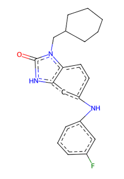 O=c1[nH]c2cc(Nc3cccc(F)c3)ccc2n1CC1CCCCC1